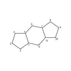 [CH]1C2CCCC2CC2CCCC12